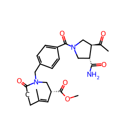 COC(=O)[C@@H]1/C=C(\C)CCC(=O)N(Cc2ccc(C(=O)N3C[C@@H](C(C)=O)[C@H](C(N)=O)C3)cc2)C1